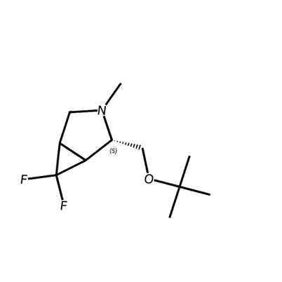 CN1CC2C([C@H]1COC(C)(C)C)C2(F)F